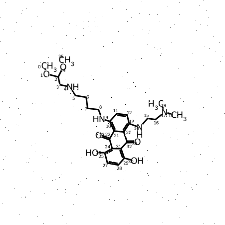 COC(CNCCCCNc1ccc(NCCN(C)C)c2c1C(=O)c1c(O)ccc(O)c1C2=O)OC